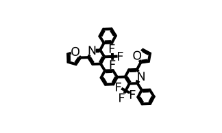 FC(F)(F)c1c(-c2cccc(-c3cc(-c4ccco4)nc(-c4ccccc4)c3C(F)(F)F)c2)cc(-c2ccco2)nc1-c1ccccc1